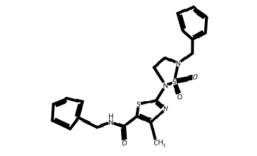 Cc1nc(N2CCN(Cc3ccccc3)S2(=O)=O)sc1C(=O)NCc1ccccc1